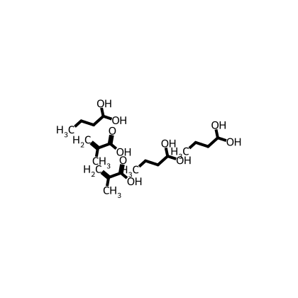 C=C(C)C(=O)O.C=C(C)C(=O)O.CCCC(O)O.CCCC(O)O.CCCC(O)O